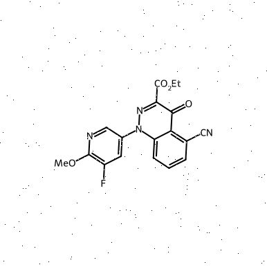 CCOC(=O)c1nn(-c2cnc(OC)c(F)c2)c2cccc(C#N)c2c1=O